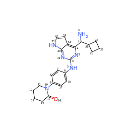 NC(c1nc(Nc2ccc(N3CCCCC3=O)cc2)nc2[nH]ccc12)C1CCC1